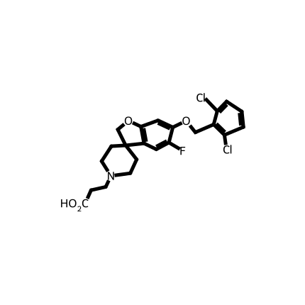 O=C(O)CCN1CCC2(CC1)COc1cc(OCc3c(Cl)cccc3Cl)c(F)cc12